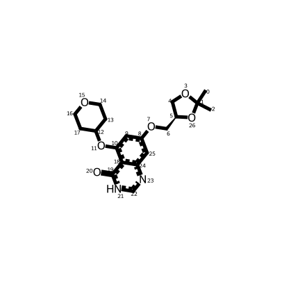 CC1(C)OC[C@H](COc2cc(OC3CCOCC3)c3c(=O)[nH]cnc3c2)O1